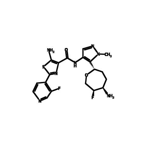 Cn1ncc(NC(=O)c2nc(-c3ccncc3F)sc2N)c1[C@@H]1CC[C@@H](N)[C@@H](F)CO1